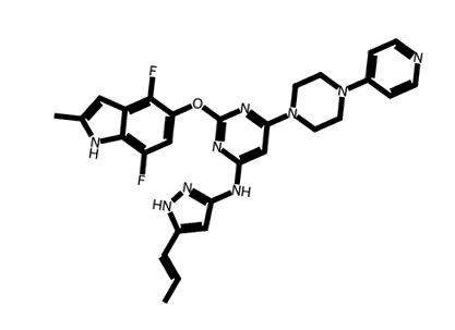 C/C=C/c1cc(Nc2cc(N3CCN(c4ccncc4)CC3)nc(Oc3cc(F)c4[nH]c(C)cc4c3F)n2)n[nH]1